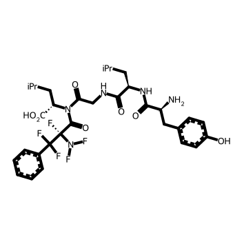 CC(C)C[C@@H](NC(=O)[C@@H](N)Cc1ccc(O)cc1)C(=O)NCC(=O)N(C(=O)[C@@](F)(N(F)F)C(F)(F)c1ccccc1)[C@@H](CC(C)C)C(=O)O